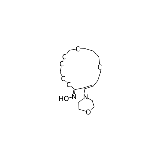 ON=C1CCCCCCCCCCCCCC=C1N1CCOCC1